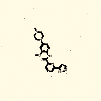 COc1cc(N2CCN(C)CC2)ccc1NC(=O)c1cccc(-c2ccn[nH]2)n1